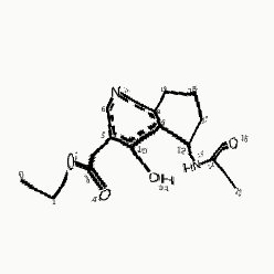 CCOC(=O)c1cnc2c(c1O)C(NC(C)=O)CCC2